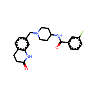 O=C1CCc2ccc(CN3CCC(NC(=O)c4cccc(F)c4)CC3)cc2N1